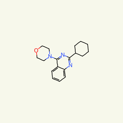 c1ccc2c(N3CCOCC3)nc(C3CCCCC3)nc2c1